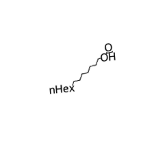 C1CO1.CCCCCCCCCCCCCO